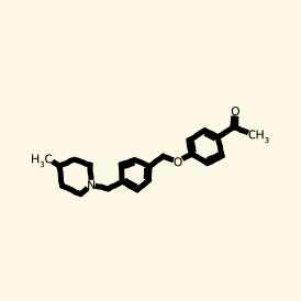 CC(=O)c1ccc(OCc2ccc(CN3CCC(C)CC3)cc2)cc1